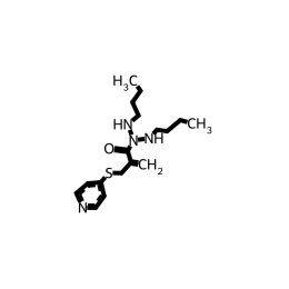 C=C(CSc1ccncc1)C(=O)N(NCCCC)NCCCC